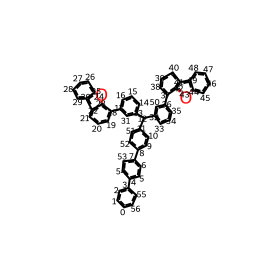 c1ccc(-c2ccc(-c3ccc(C(c4cccc(-c5cccc6c5oc5ccccc56)c4)c4cccc(-c5cccc6c5oc5ccccc56)c4)cc3)cc2)cc1